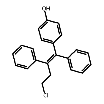 Oc1ccc(/C(=C(/CCCl)c2ccccc2)c2ccccc2)cc1